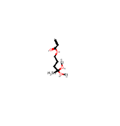 C=CC(=O)OCCCC([SiH3])(OCC)OCC